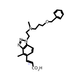 Cc1c(/C=C/C(=O)O)ccc2c1nnn2CCN(C)CCCOCc1ccccc1